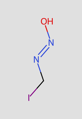 ON=NCI